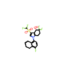 O=S(=O)(c1cn(-c2ccc(F)c3c2CCCC3)c2c1[C@H](O)C(F)(F)CC2)C(F)F